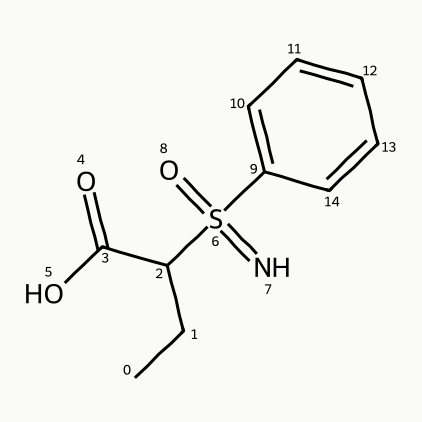 CCC(C(=O)O)S(=N)(=O)c1ccccc1